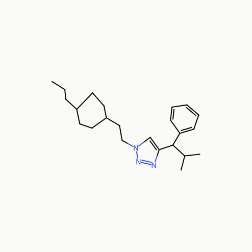 CCCC1CCC(CCn2cc(C(c3ccccc3)C(C)C)nn2)CC1